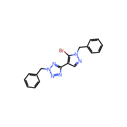 Brc1c(-c2nnn(Cc3ccccc3)n2)cnn1Cc1ccccc1